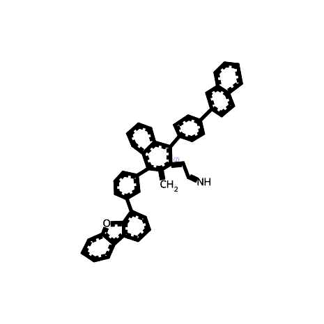 C=c1c(-c2cccc(-c3cccc4c3oc3ccccc34)c2)c2ccccc2c(-c2ccc(-c3ccc4ccccc4c3)cc2)/c1=C/C=N